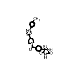 CCC1(c2ccc(C(=O)N3CCC(c4nnn(-c5ccc(C)cc5)n4)CC3)cc2)NC(=O)NC1=O